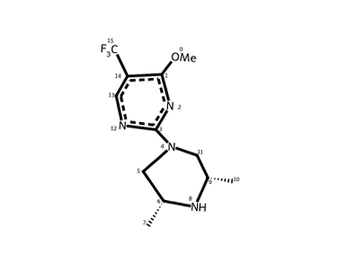 COc1nc(N2C[C@@H](C)N[C@@H](C)C2)ncc1C(F)(F)F